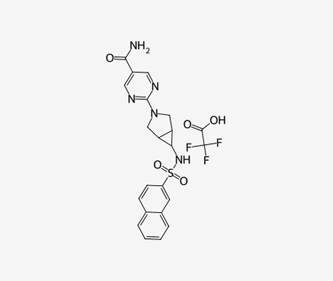 NC(=O)c1cnc(N2CC3C(C2)C3NS(=O)(=O)c2ccc3ccccc3c2)nc1.O=C(O)C(F)(F)F